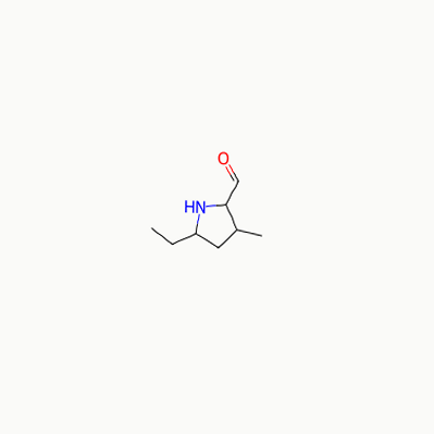 CCC1CC(C)C(C=O)N1